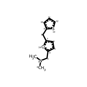 CN(C)Cc1ccc(Cc2cccs2)o1